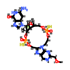 COCc1ncc2nc3n(c2n1)CCOP(=O)(S)OC[C@H]1O[C@@H](n2cnc4c(=O)[nH]c(N)cc42)[C@H](OP(=O)(S)OC3)[C@@H]1F